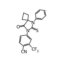 N#Cc1ccc(N2C(=O)C3(CCC3)N(c3cc[c]cc3)C2=S)cc1C(F)(F)F